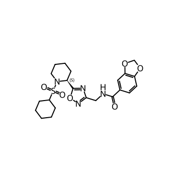 O=C(NCc1noc([C@@H]2CCCCN2S(=O)(=O)C2CCCCC2)n1)c1ccc2c(c1)OCO2